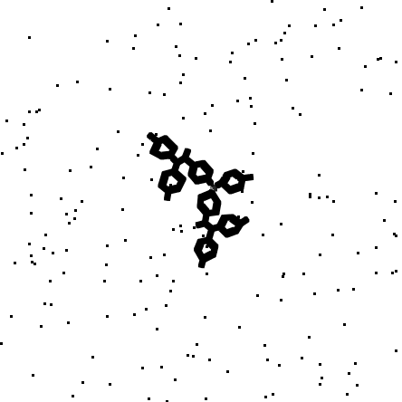 Cc1ccc(C(c2ccc(C)cc2)C(C)c2ccc(N(c3ccc(C)cc3)c3ccc(C(C)C(c4ccc(C)cc4)c4ccc(C)cc4)cc3)cc2)cc1